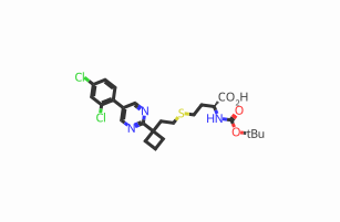 CC(C)(C)OC(=O)N[C@@H](CCSCCC1(c2ncc(-c3ccc(Cl)cc3Cl)cn2)CCC1)C(=O)O